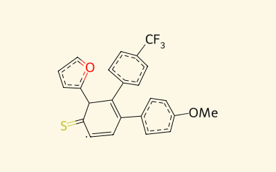 COc1ccc(C2=C(c3ccc(C(F)(F)F)cc3)C(c3ccco3)C(=S)[C]=C2)cc1